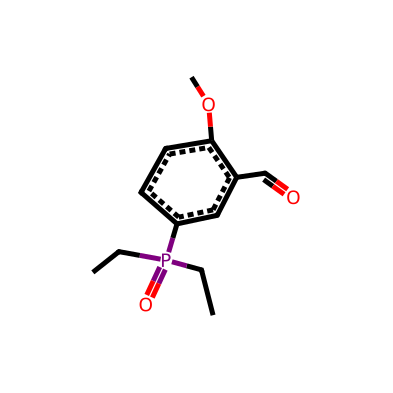 CCP(=O)(CC)c1ccc(OC)c(C=O)c1